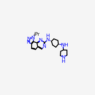 CC(C)n1nnc2ccc3cnc(N[C@H]4CC[C@H](NC5CCNCC5)CC4)nc3c21